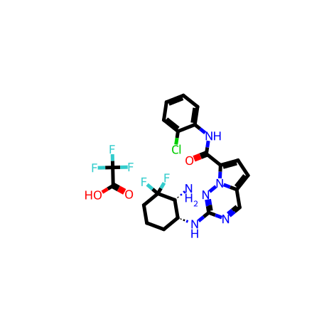 N[C@@H]1[C@H](Nc2ncc3ccc(C(=O)Nc4ccccc4Cl)n3n2)CCCC1(F)F.O=C(O)C(F)(F)F